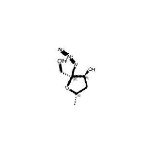 C[C@H]1C[C@H](O)[C@](CO)(N=[N+]=[N-])O1